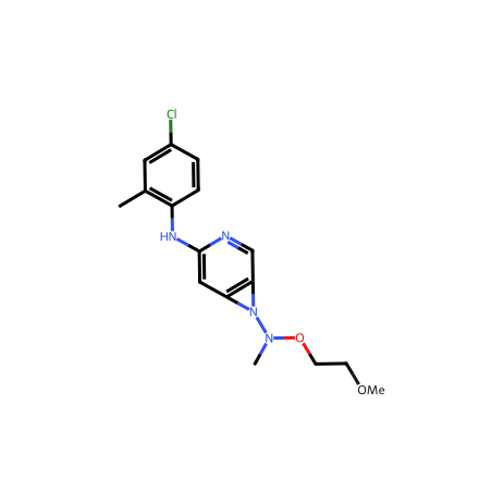 COCCON(C)N1c2cnc(Nc3ccc(Cl)cc3C)cc21